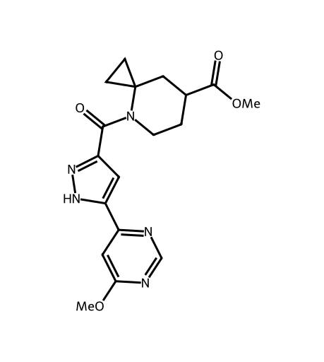 COC(=O)C1CCN(C(=O)c2cc(-c3cc(OC)ncn3)[nH]n2)C2(CC2)C1